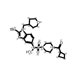 CN(c1ccc2c(c1)nc(C(C)(C)C)n2CC1CCOCC1)S(=O)(=O)N1CCN(C(=O)C2CCC2)CC1